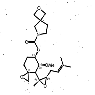 CO[C@H]1C([C@@]2(C)O[C@@H]2CC=C(C)C)[C@]2(CC[C@H]1OC(=O)N1CCC3(COC3)C1)CO2